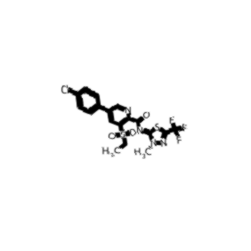 CCS(=O)(=O)c1cc(-c2ccc(Cl)cc2)cnc1C(=O)N=c1sc(C(F)(F)F)nn1C